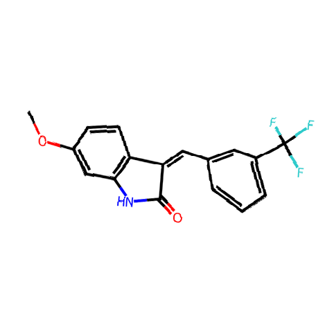 COc1ccc2c(c1)NC(=O)C2=Cc1cccc(C(F)(F)F)c1